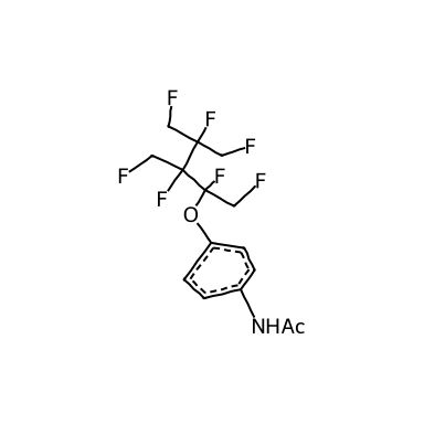 CC(=O)Nc1ccc(OC(F)(CF)C(F)(CF)C(F)(CF)CF)cc1